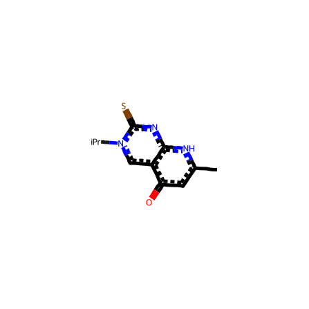 Cc1cc(=O)c2cn(C(C)C)c(=S)nc2[nH]1